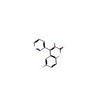 CC(=O)c1c(-c2cccnc2)c2cc(Br)ccc2[nH]c1=O